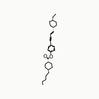 CCCCC[C@H]1CC[C@H](C(=O)Oc2ccc(C#CC=C[C@H]3CC[C@H](CC)CC3)cc2)CC1